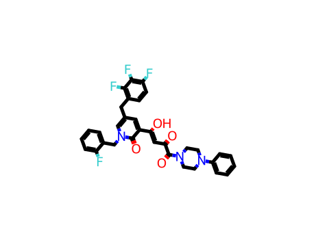 O=C(/C=C(\O)c1cc(Cc2ccc(F)c(F)c2F)cn(Cc2ccccc2F)c1=O)C(=O)N1CCN(c2ccccc2)CC1